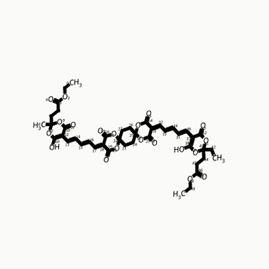 CCOC(=O)CCC1(C)OC(=O)C(/C=C/C=C/C=C2C(=O)OC3(CCC4(CC3)OC(=O)C(=C/C=C/C=C/C3=C(O)OC(CC)(CCC(=O)OCC)OC3=O)C(=O)O4)OC2=O)=C(O)O1